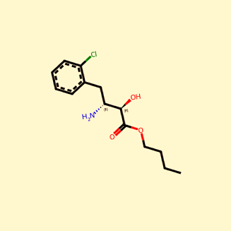 CCCCOC(=O)[C@H](O)[C@H](N)Cc1ccccc1Cl